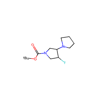 CC(C)(C)OC(=O)N1CC(F)C(N2CCCC2)C1